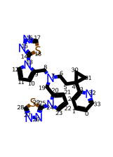 c1ccc(C2(CCN(Cc3cccn3-c3nncs3)Cc3cccn3-c3nncs3)CC2)nc1